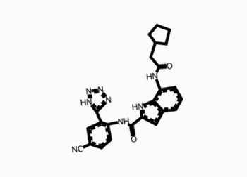 N#Cc1ccc(NC(=O)c2cc3cccc(NC(=O)CC4CCCC4)c3[nH]2)c(-c2nnn[nH]2)c1